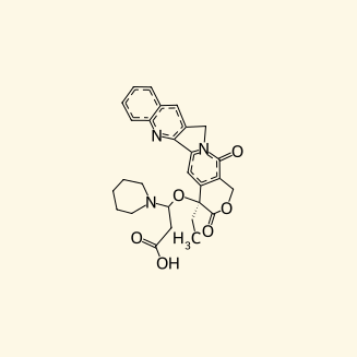 CC[C@@]1(OC(CC(=O)O)N2CCCCC2)C(=O)OCc2c1cc1n(c2=O)Cc2cc3ccccc3nc2-1